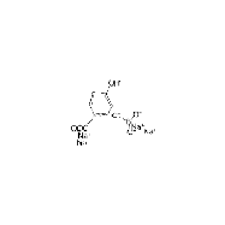 O=C([O-])c1ccc(O)cc1.[Na+].[Na+].[Na+].[Na+].[O-]B([O-])[O-]